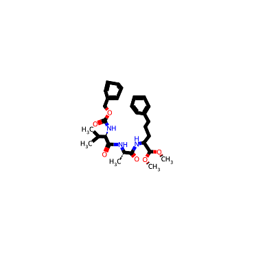 COC(OC)C(CCCc1ccccc1)NC(=O)[C@H](C)NC(=O)[C@@H](NC(=O)OCc1ccccc1)C(C)C